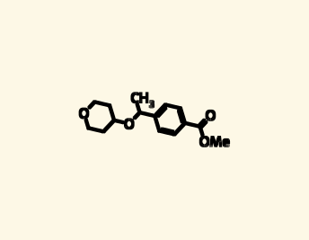 COC(=O)c1ccc(C(C)OC2CCOCC2)cc1